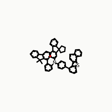 CC1(C)c2ccccc2-c2cccc(-c3ccccc3N(c3ccc(-c4cccc5sc6c7ccccc7ccc6c45)cc3)c3ccc4c(c3)C3(CCCC3)c3ccccc3-4)c21